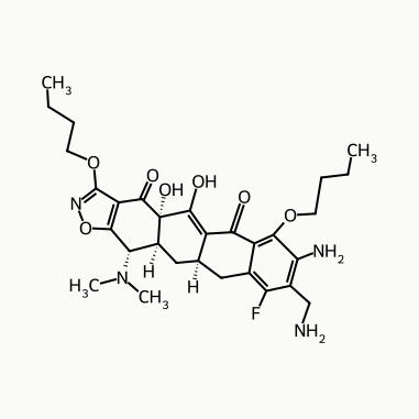 CCCCOc1noc2c1C(=O)[C@@]1(O)C(O)=C3C(=O)c4c(c(F)c(CN)c(N)c4OCCCC)C[C@H]3C[C@H]1[C@@H]2N(C)C